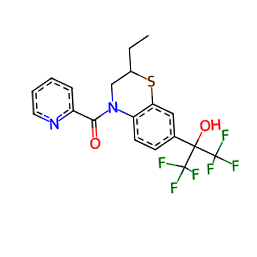 CCC1CN(C(=O)c2ccccn2)c2ccc(C(O)(C(F)(F)F)C(F)(F)F)cc2S1